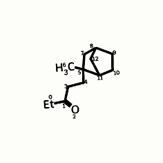 CCC(=O)CCC1(C)CC2CCC1C2